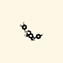 O=CC12Cc3cnn(-c4ccc(F)cc4)c3C=C1CCN(Sc1ccc(F)c(F)c1)C2